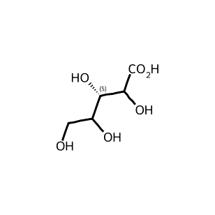 O=C(O)C(O)[C@@H](O)C(O)CO